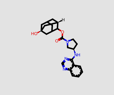 O=C(OC1C2CC3C[C@H]1C[C@@](O)(C3)C2)N1CC[C@@H](Nc2ncnc3ccccc23)C1